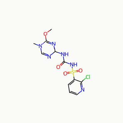 COC1=NC(NC(=O)NS(=O)(=O)c2cccnc2Cl)N=CN1C